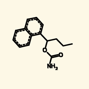 CCCC(OC(N)=O)c1cccc2ccccc12